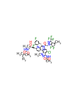 C[C@H]1CC(F)(F)c2c1c(C(F)(F)F)nn2CC(=O)N[C@@H](Cc1cc(F)cc(F)c1)c1nc(C#CC(C)(O)CNC(=O)OC(C)(C)C)ccc1-c1ccc(Cl)c2c(NS(C)(=O)=O)nn(C)c12